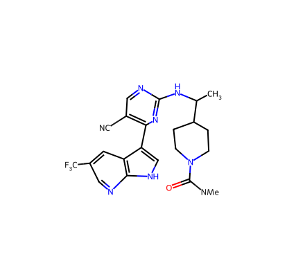 CNC(=O)N1CCC(C(C)Nc2ncc(C#N)c(-c3c[nH]c4ncc(C(F)(F)F)cc34)n2)CC1